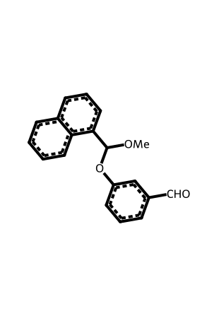 COC(Oc1cccc(C=O)c1)c1cccc2ccccc12